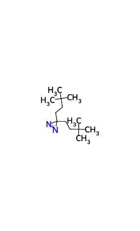 CC(C)(C)CCC1(CCC(C)(C)C)N=N1